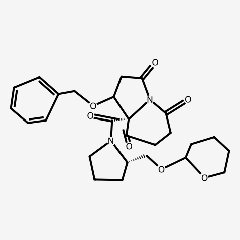 O=C1CCC(=O)[C@@]2(C(=O)N3CCC[C@H]3COC3CCCCO3)C(OCc3ccccc3)CC(=O)N12